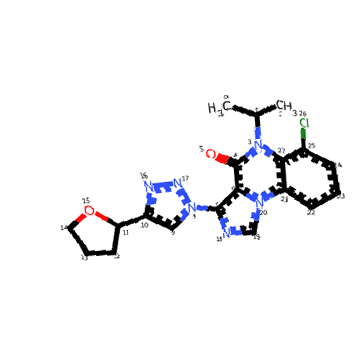 CC(C)n1c(=O)c2c(-n3cc(C4CCCO4)nn3)ncn2c2cccc(Cl)c21